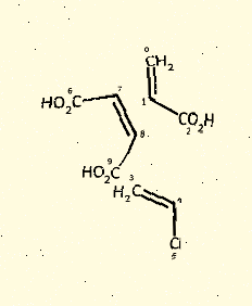 C=CC(=O)O.C=CCl.O=C(O)/C=C\C(=O)O